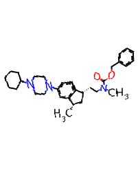 C[C@H]1C[C@@H](CCN(C)C(=O)OCc2ccccc2)c2ccc(N3CCN(C4CCCCC4)CC3)cc21